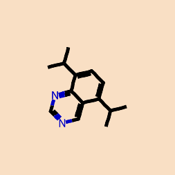 CC(C)c1ccc(C(C)C)c2ncncc12